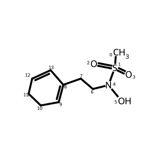 CS(=O)(=O)N(O)CCC1=CC[CH]C=C1